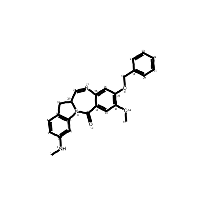 CNc1ccc2c(c1)N1C(=O)c3cc(OC)c(OCc4ccccc4)cc3N=CC1C2